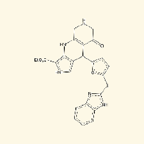 CCOC(=O)c1[nH]cc2c1NC1=C(C(=O)CNC1)C2c1ccc(Sc2nc3ccccc3[nH]2)o1